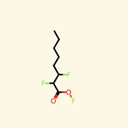 CCCCCC(F)C(F)C(=O)OF